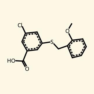 COc1ccccc1CSc1cc(Cl)cc(C(=O)O)c1